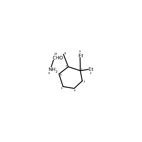 CCC1(CC)CCCCC1C.NC=O